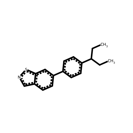 CCC(CC)c1ccc(-c2ccc3cnsc3c2)cc1